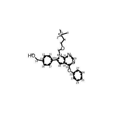 C[Si](C)(C)CCOCn1c(-c2ccc(CO)cc2)cc2c(Oc3ccccc3)ncnc21